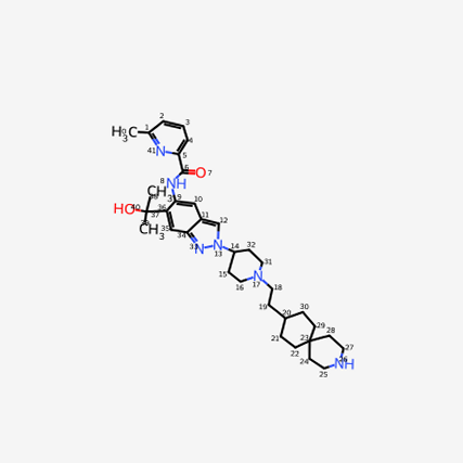 Cc1cccc(C(=O)Nc2cc3cn(C4CCN(CCC5CCC6(CCNCC6)CC5)CC4)nc3cc2C(C)(C)O)n1